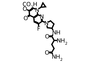 NC(=O)CCC(N)C(=O)NC1CCN(c2nc3c(cc2F)c(=O)c(OC(=O)O)cn3C2CC2)C1